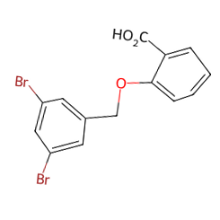 O=C(O)c1ccccc1OCc1cc(Br)cc(Br)c1